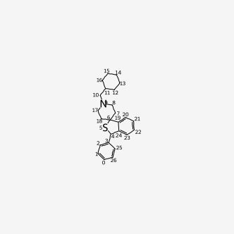 c1ccc(C2SC3(CCN(CC4CCCCC4)CC3)c3ccccc32)cc1